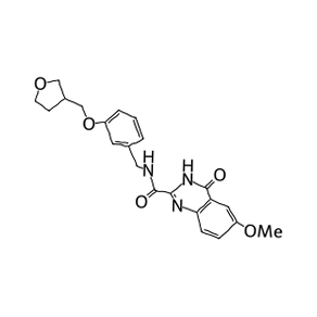 COc1ccc2nc(C(=O)NCc3cccc(OCC4CCOC4)c3)[nH]c(=O)c2c1